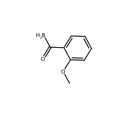 BC(=O)c1ccccc1OC